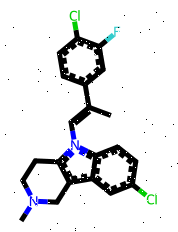 CC(=Cn1c2c(c3cc(Cl)ccc31)CN(C)CC2)c1ccc(Cl)c(F)c1